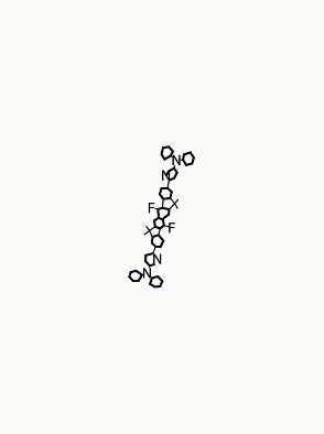 CC1(C)c2cc(-c3ccc(N(c4ccccc4)c4ccccc4)cn3)ccc2-c2c1cc1c(F)c3c(cc1c2F)C(C)(C)c1cc(-c2ccc(N(c4ccccc4)c4ccccc4)cn2)ccc1-3